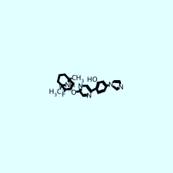 C[C@]12CCC[C@](C)(N1)[C@H](F)[C@H](Oc1cnc(-c3ccc(-n4ccnc4)cc3O)cn1)C2